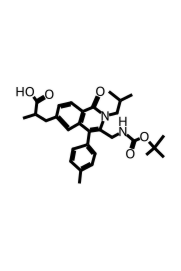 Cc1ccc(-c2c(CNC(=O)OC(C)(C)C)n(CC(C)C)c(=O)c3ccc(CC(C)C(=O)O)cc23)cc1